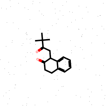 CC(C)(C)C(=O)CC1C(=O)CCc2ccccc21